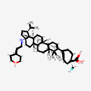 CC(C)[C@@H]1CC[C@]2(NCCC3CCOCC3)CC[C@]3(C)[C@H](CC[C@@H]4[C@@]5(C)CC=C(C6=CC[C@](CF)(C(=O)O)CC6)C(C)(C)[C@@H]5CC[C@]43C)[C@@H]12